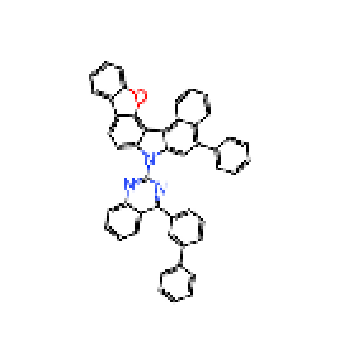 c1ccc(-c2cccc(-c3nc(-n4c5cc(-c6ccccc6)c6ccccc6c5c5c6oc7ccccc7c6ccc54)nc4ccccc34)c2)cc1